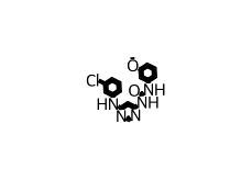 COc1cccc(NC(=O)Nc2cc(Nc3cccc(Cl)c3)ncn2)c1